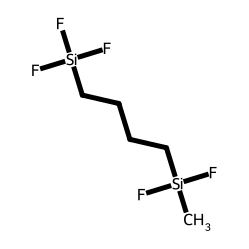 C[Si](F)(F)CCCC[Si](F)(F)F